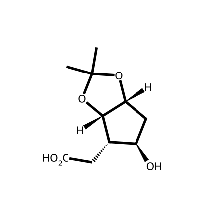 CC1(C)O[C@H]2[C@@H](CC(=O)O)[C@H](O)C[C@H]2O1